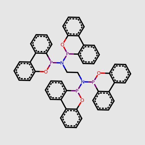 c1ccc2c(c1)OP(N(CCN(P1Oc3ccccc3-c3ccccc31)P1Oc3ccccc3-c3ccccc31)P1Oc3ccccc3-c3ccccc31)c1ccccc1-2